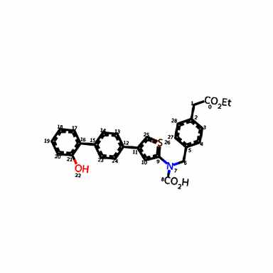 CCOC(=O)Cc1ccc(CN(C(=O)O)c2cc(-c3ccc(-c4ccccc4O)cc3)cs2)cc1